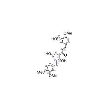 COc1ccc(/C=C/C(=O)/C(CCO)=C(O)/C=C/c2ccc(OC)c(OC)c2)cc1CO